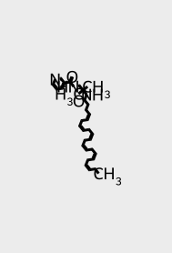 CC/C=C\C/C=C\C/C=C\C/C=C\C/C=C\C/C=C\CCC(=O)NC(C)(C)CNC(=O)c1cccnc1